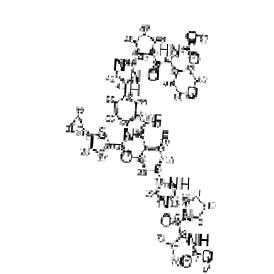 COC(=O)N[C@H](C(=O)N1CCC[C@H]1c1ncc(-c2cc(F)c3c(c2)OC(c2ccc(C4CC4)s2)n2c-3c(F)c3cc(-c4cnc([C@@H]5CCCC5C(=O)[C@@H](NC(=O)OC)C5CCOCC5)[nH]4)ccc32)[nH]1)C(C)C